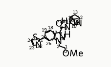 COCCn1nc(C(=O)N[C@@H]2CN3CCC2CC3)c2ccc(-c3nccs3)cc21